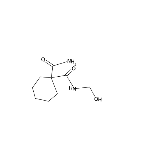 NC(=O)C1(C(=O)NCO)CCCCC1